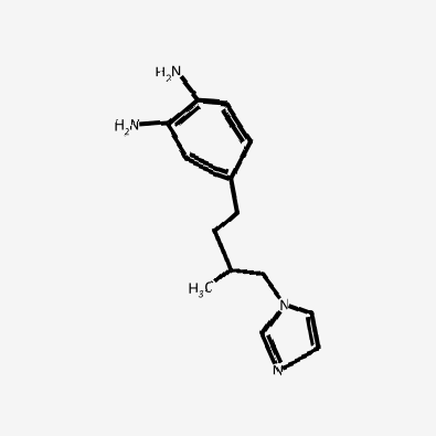 CC(CCc1ccc(N)c(N)c1)Cn1ccnc1